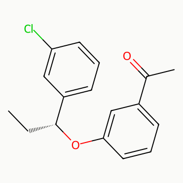 CC[C@@H](Oc1cccc(C(C)=O)c1)c1cccc(Cl)c1